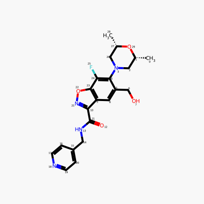 C[C@@H]1CN(c2c(CO)cc3c(C(=O)NCc4ccncc4)noc3c2F)C[C@H](C)O1